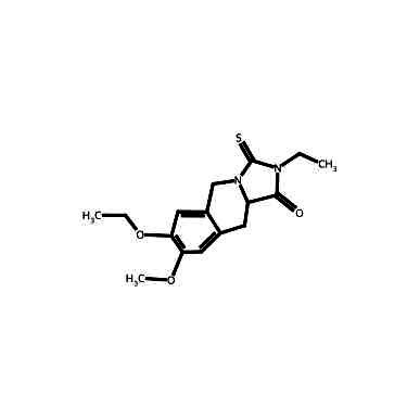 CCOc1cc2c(cc1OC)CC1C(=O)N(CC)C(=S)N1C2